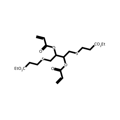 C=CC(=O)OC(CSCCC(=O)OCC)C(CSCCC(=O)OCC)OC(=O)C=C